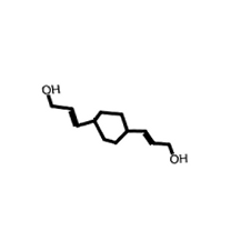 OCC=C[C]1CCC(C=CCO)CC1